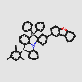 Cc1cc(C)c(B2c3ccccc3N3c4ccc(-c5ccc6oc7ccccc7c6c5)cc4[Si](c4ccccc4)(c4ccccc4)c4cccc2c43)c(C)c1